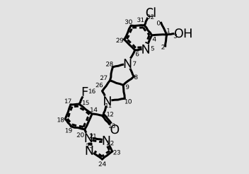 CC(C)(O)c1nc(N2CC3CN(C(=O)c4c(F)cccc4-n4nccn4)CC3C2)ccc1Cl